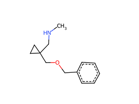 CNCC1(COCc2ccccc2)CC1